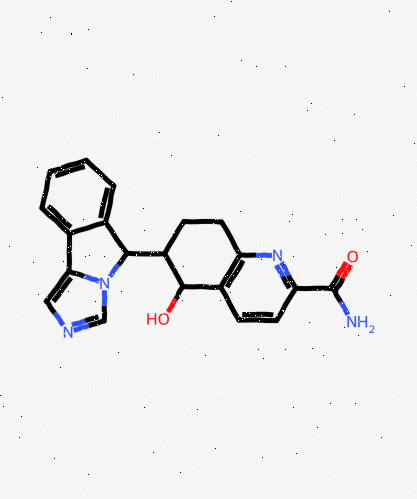 NC(=O)c1ccc2c(n1)CCC(C1c3ccccc3-c3cncn31)C2O